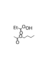 CCC(=O)OO.CCCCOC(C)=O